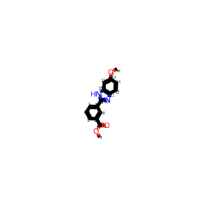 COC(=O)c1cccc(-c2nc3ccc(OC)cc3[nH]2)c1